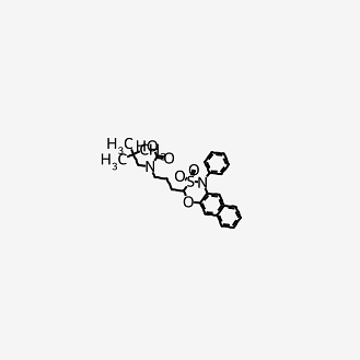 CC(C)(C)CN(CCCC1Oc2cc3ccccc3cc2N(c2ccccc2)S1(=O)=O)C(=O)O